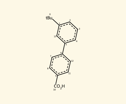 CC(C)(C)c1cccc(-c2ccc(C(=O)O)cc2)c1